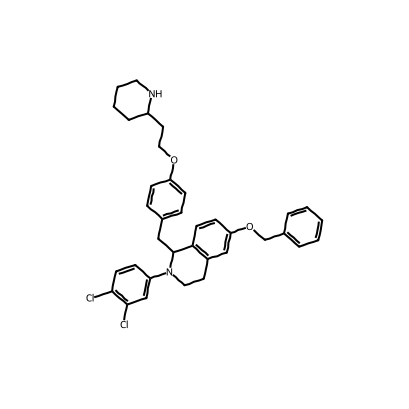 Clc1ccc(N2CCc3cc(OCc4ccccc4)ccc3C2Cc2ccc(OCCC3CCCCN3)cc2)cc1Cl